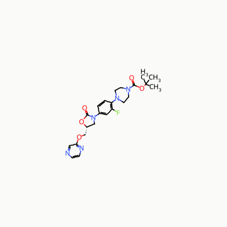 CC(C)(C)OC(=O)N1CCN(c2ccc(N3C[C@H](COc4cnccn4)OC3=O)cc2F)CC1